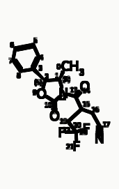 C[C@@H]1[C@H](c2ccccc2)OC(=O)N1C(=O)C(CC#N)CC(F)(F)F